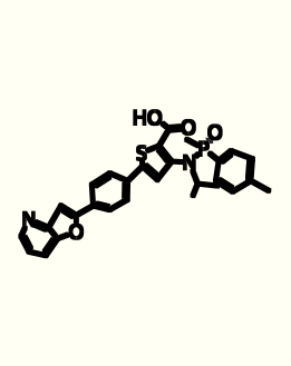 Cc1ccc(P(C)(=O)N(c2cc(-c3ccc(-c4cc5ncccc5o4)cc3)sc2C(=O)O)C(C)C)cc1